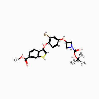 COC(=O)c1ccc2c(Oc3ccc(OC4CN(C(=O)OC(C)(C)C)C4)cc3Br)csc2c1